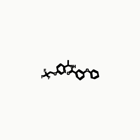 CC(NC(=O)c1cccc(Oc2ccccc2)c1)c1ccc(OCC(F)(F)F)cn1